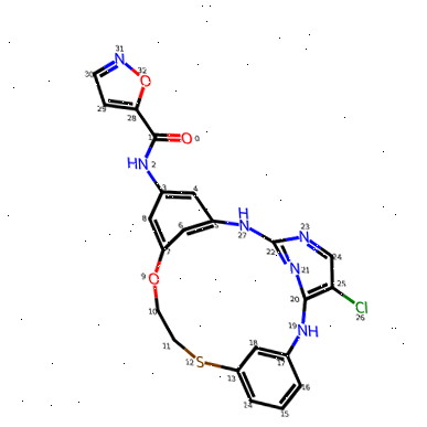 O=C(Nc1cc2cc(c1)OCCSc1cccc(c1)Nc1nc(ncc1Cl)N2)c1ccno1